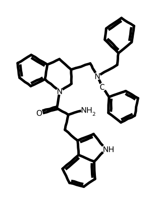 NC(Cc1c[nH]c2ccccc12)C(=O)N1CC(CN(Cc2ccccc2)Cc2ccccc2)Cc2ccccc21